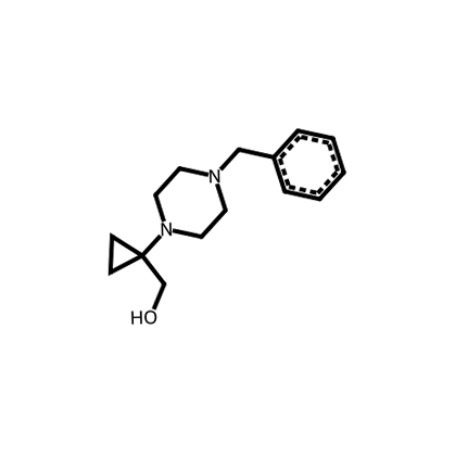 OCC1(N2CCN(Cc3ccccc3)CC2)CC1